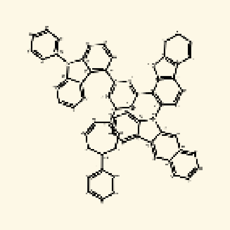 C1=Cc2c(oc3c(C4=NC(c5cccc6c5c5ccccc5n6-c5ccccc5)=NC(C5=CCC(c6ccccc6)CC=C5)N4)c(-n4c5ccccc5c5cc6ccccc6cc54)ccc23)CC1